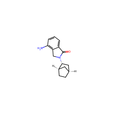 Nc1cccc2c1CN([C@@H]1C[C@H]3CC[C@@H]1C3)C2=O